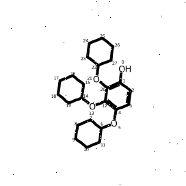 Oc1ccc(OC2CCCCC2)c(OC2CCCCC2)c1OC1CCCCC1